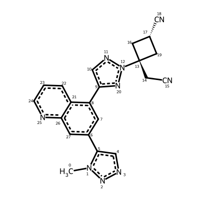 Cn1nncc1-c1cc(-c2cnn([C@]3(CC#N)C[C@H](C#N)C3)n2)c2cccnc2c1